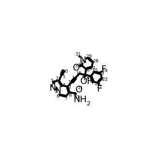 C#Cc1cnn2ccc(C(N)=O)c(C#CCC(O)(c3cc(F)cc(F)c3)c3cccn(C)c3=O)c12